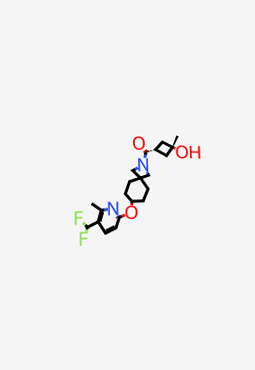 Cc1nc(OC2CCC3(CC2)CN(C(=O)[C@H]2C[C@@](C)(O)C2)C3)ccc1C(F)F